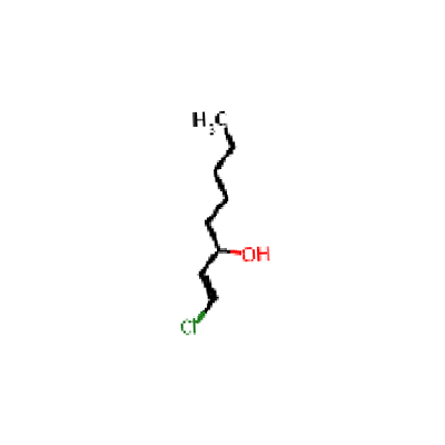 CCCCCC(O)C=CCl